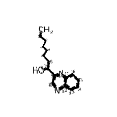 CCCCCCCC(O)c1cnc2ccccc2n1